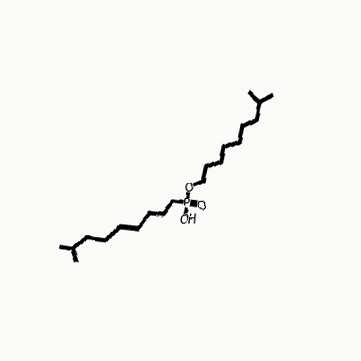 CC(C)CCCCCCCOP(=O)(O)CCCCCCCC(C)C